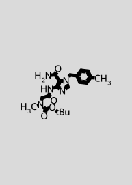 Cc1ccc(Cn2cnc(NC(=O)CN(C)C(=O)OC(C)(C)C)c2C(N)=O)cc1